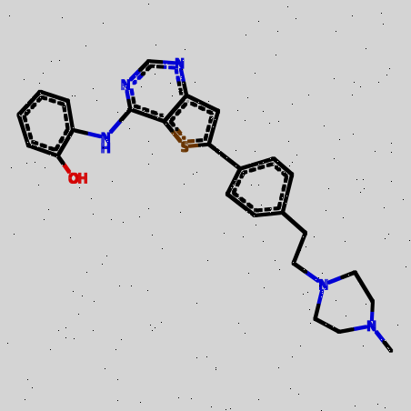 CN1CCN(CCc2ccc(-c3cc4ncnc(Nc5ccccc5O)c4s3)cc2)CC1